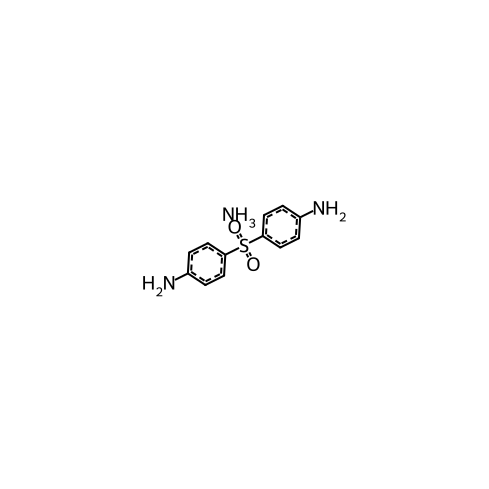 N.Nc1ccc(S(=O)(=O)c2ccc(N)cc2)cc1